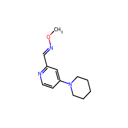 CON=Cc1cc(N2CCCCC2)ccn1